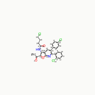 CC(C)C(=O)c1oc2nc(-c3ccccc3Cl)c(-c3ccc(Cl)cc3)cc2c1NC(=O)CCCCl